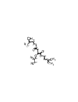 CC(C)CCOC(=O)CC(OCC(O)CO)C(=O)OCCC(C)C